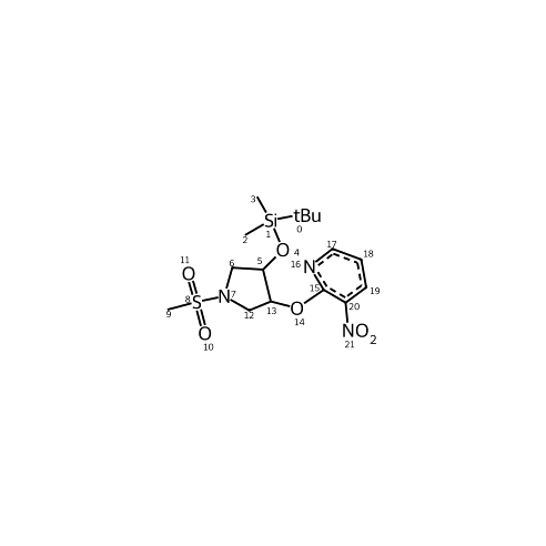 CC(C)(C)[Si](C)(C)OC1CN(S(C)(=O)=O)CC1Oc1ncccc1[N+](=O)[O-]